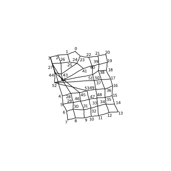 C1C2C3C4C5C6C7CC8C9C%10C%11C%12CC%13C%14C%15C%16C%17C%18CC%19C%20C1C1%21C2C32C43C54C65C87C96C%107C%118C%12%13C%149C%15%10C%16%11C%17%12C%19%18C%20%13C1C1%14C%212C32C43C65C74C89C%105C%11(C%13%121)C%142C435